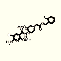 COc1nc(N)c(Cl)cc1C(=O)N[C@H]1CCN(CC(=O)OCc2ccccc2F)C[C@H]1OC